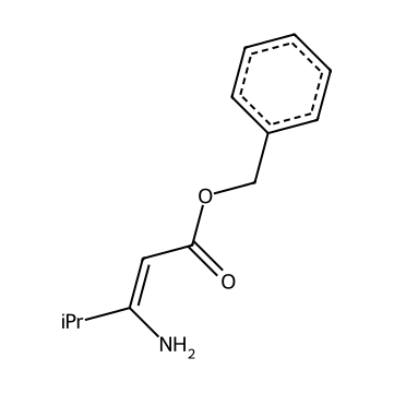 CC(C)C(N)=CC(=O)OCc1ccccc1